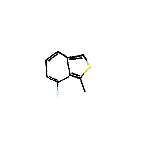 Cc1scc2cccc(F)c12